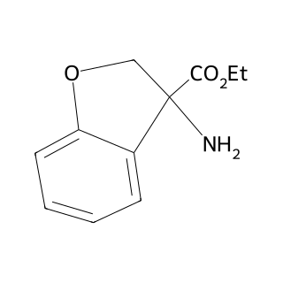 CCOC(=O)C1(N)COc2ccccc21